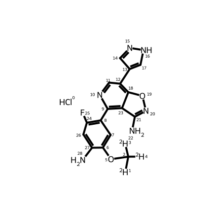 Cl.[2H]C([2H])([2H])Oc1cc(-c2ncc(-c3cn[nH]c3)c3onc(N)c23)c(F)cc1N